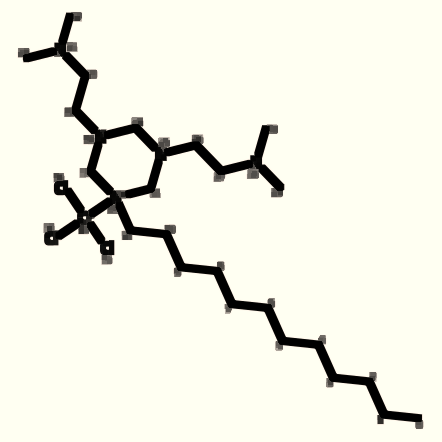 CCCCCCCCCCCC[N+]1([Cr]([Cl])([Cl])[Cl])CN(CCN(C)C)CN(CCN(C)C)C1